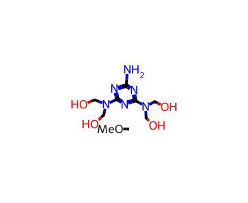 COC.Nc1nc(N(CO)CO)nc(N(CO)CO)n1